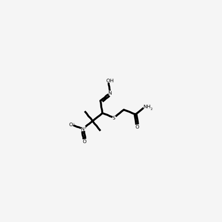 CC(C)(C(C=NO)SCC(N)=O)[N+](=O)[O-]